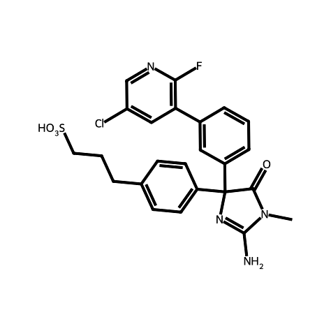 CN1C(=O)C(c2ccc(CCCS(=O)(=O)O)cc2)(c2cccc(-c3cc(Cl)cnc3F)c2)N=C1N